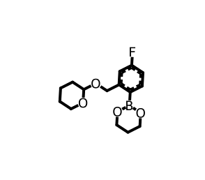 Fc1ccc(B2OCCCO2)c(COC2CCCCO2)c1